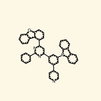 c1ccc(-c2nc(-c3cc(-c4ccncc4)cc(-n4c5ccccc5c5ccccc54)c3)cc(-c3cccc4oc5ccccc5c34)n2)cc1